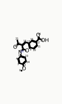 COc1ccc(/N=c2\oc3ccc(C(=O)O)cc3cc2C(C)=O)cc1